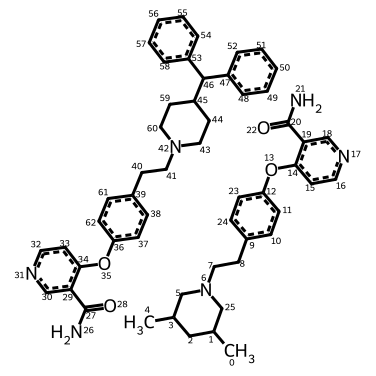 CC1CC(C)CN(CCc2ccc(Oc3ccncc3C(N)=O)cc2)C1.NC(=O)c1cnccc1Oc1ccc(CCN2CCC(C(c3ccccc3)c3ccccc3)CC2)cc1